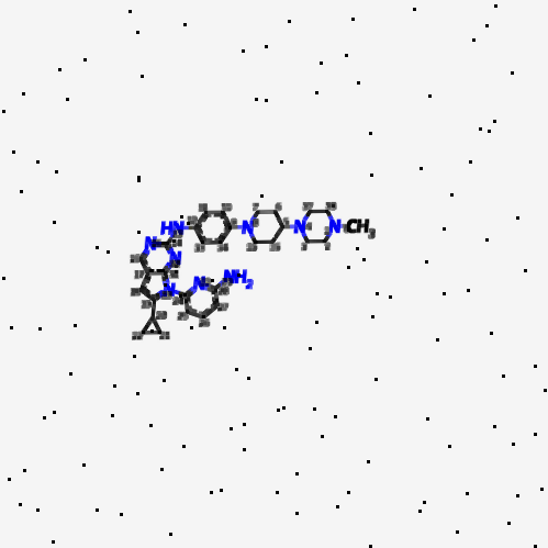 CN1CCN(C2CCN(c3ccc(Nc4ncc5cc(C6CC6)n(-c6cccc(N)n6)c5n4)cc3)CC2)CC1